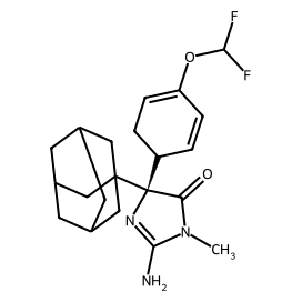 CN1C(=O)[C@@](C2C=CC(OC(F)F)=CC2)(C23CC4CC(CC(C4)C2)C3)N=C1N